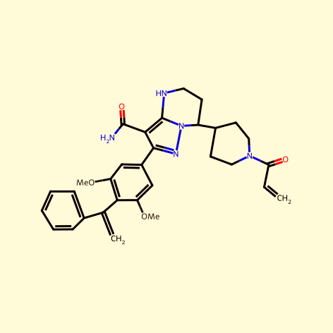 C=CC(=O)N1CCC(C2CCNc3c(C(N)=O)c(-c4cc(OC)c(C(=C)c5ccccc5)c(OC)c4)nn32)CC1